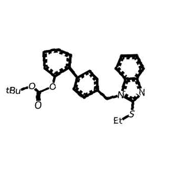 CCSc1nc2ccccc2n1Cc1ccc(-c2ccccc2OC(=O)OC(C)(C)C)cc1